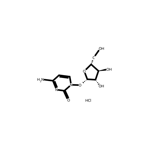 Cl.Nc1ccn(O[C@@H]2O[C@H](CO)[C@@H](O)[C@@H]2O)c(=O)n1